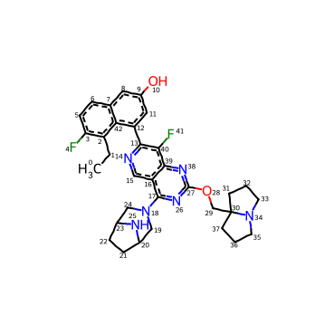 CCc1c(F)ccc2cc(O)cc(-c3ncc4c(N5CC6CCC(C5)N6)nc(OCC56CCCN5CCC6)nc4c3F)c12